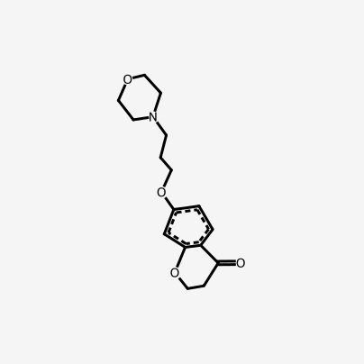 O=C1CCOc2cc(OCCCN3CCOCC3)ccc21